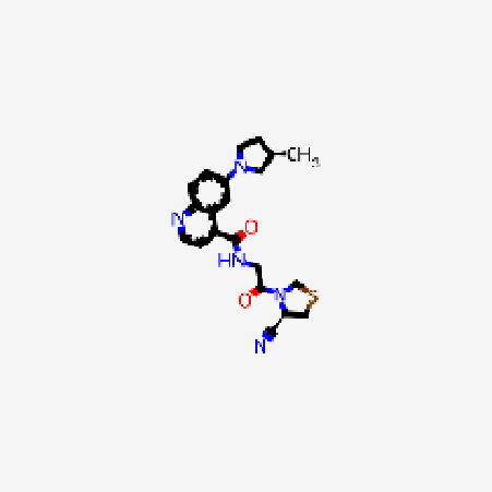 C[C@@H]1CCN(c2ccc3nccc(C(=O)NCC(=O)N4CSC[C@H]4C#N)c3c2)C1